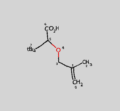 C=C(C)COC(C(=O)O)C(C)(C)C